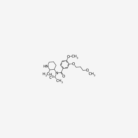 COCCCOc1cc(C(=O)N(C(C)C)C2CCCNC2C)ccc1OC